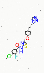 O=C(Nc1nc(COc2ccc(CCCCn3ccnn3)cc2)cs1)c1ccc(Cl)c(F)c1